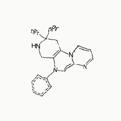 CCCC1(CCC)CC2=C(CN1)N(c1ccccc1)C=C1N=CC=CN12